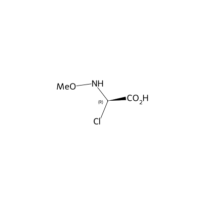 CON[C@H](Cl)C(=O)O